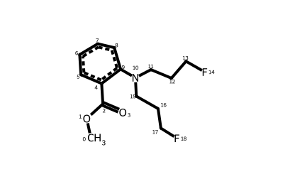 COC(=O)c1ccccc1N(CCCF)CCCF